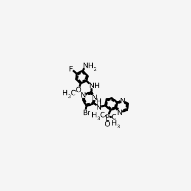 COc1cc(F)c(N)cc1Nc1ncc(Br)c(Nc2ccc3nccnc3c2P(C)(C)=O)n1